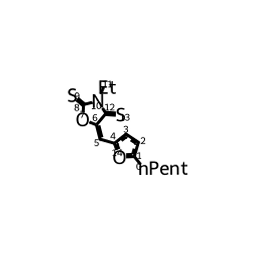 CCCCCc1ccc(C=C2OC(=S)N(CC)C2=S)o1